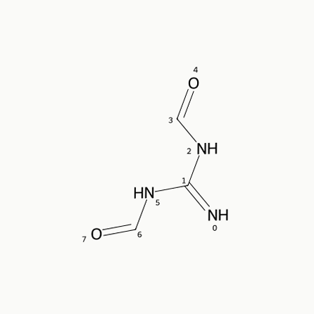 N=C(NC=O)NC=O